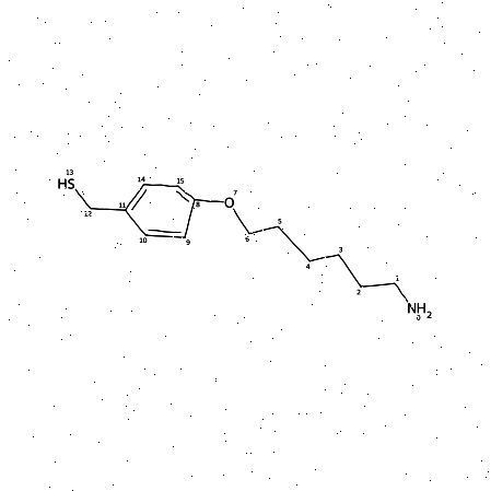 NCCCCCCOc1ccc(CS)cc1